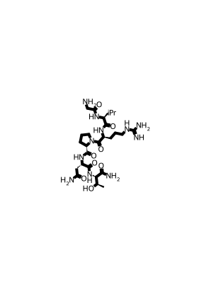 CC(C)[C@H](NC(=O)CN)C(=O)N[C@@H](CCCNC(=N)N)C(=O)N1CCC[C@H]1C(=O)N[C@@H](CC(N)=O)C(=O)N[C@H](C(N)=O)[C@@H](C)O